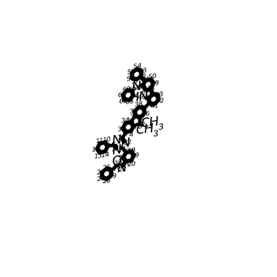 CC1(C)c2cc(-c3nc(-c4ccccc4)nc(-c4cccc5nc(-c6ccccc6)oc45)n3)ccc2-c2ccc(-c3cccc4c3[nH]c3c4ccc4c5ccccc5n(-c5ccccc5)c43)cc21